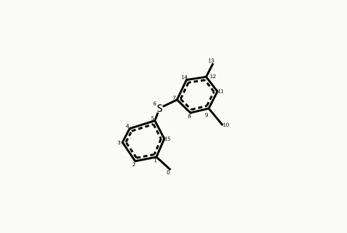 Cc1cccc(Sc2cc(C)cc(C)c2)c1